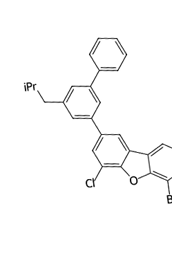 CC(C)Cc1cc(-c2ccccc2)cc(-c2cc(Cl)c3oc4c(Br)cccc4c3c2)c1